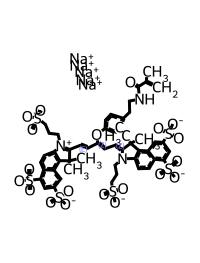 C=C(C)C(=O)NCCc1ccc(OC(=C\C=C2/N(CCCS(=O)(=O)[O-])c3ccc4c(S(=O)(=O)[O-])cc(S(=O)(=O)[O-])cc4c3C2(C)C)/C=C/C2=[N+](CCCS(=O)(=O)[O-])c3ccc4c(S(=O)(=O)[O-])cc(S(=O)(=O)[O-])cc4c3C2(C)C)cc1.[Na+].[Na+].[Na+].[Na+].[Na+]